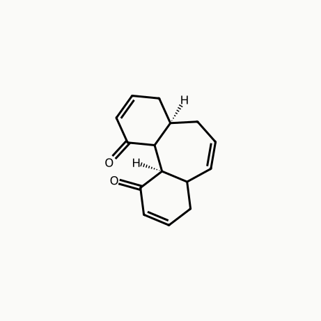 O=C1C=CC[C@H]2CC=CC3CC=CC(=O)[C@H]3C12